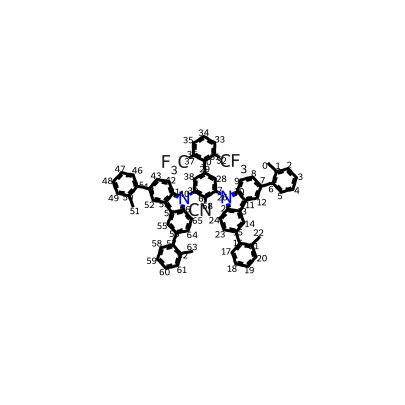 Cc1ccccc1-c1ccc2c(c1)c1cc(-c3ccccc3C)ccc1n2-c1cc(-c2c(C(F)(F)F)cccc2C(F)(F)F)cc(-n2c3ccc(-c4ccccc4C)cc3c3cc(-c4ccccc4C)ccc32)c1C#N